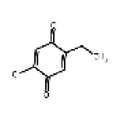 CCC1=CC(=O)C(Cl)=CC1=O